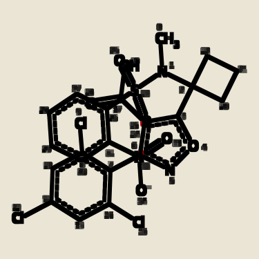 CN(C1(c2onc(-c3c(Cl)cc(Cl)cc3Cl)c2C(=O)O)CCC1)S(=O)(=O)c1ccccc1[N+](=O)[O-]